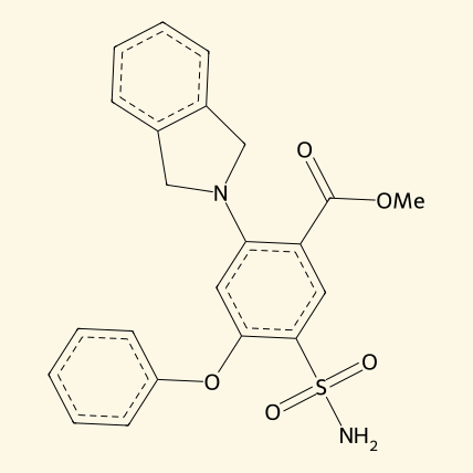 COC(=O)c1cc(S(N)(=O)=O)c(Oc2ccccc2)cc1N1Cc2ccccc2C1